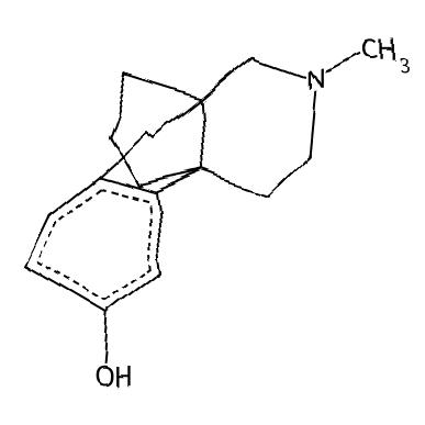 CN1CCC23CCCC2(CCc2ccc(O)cc23)C1